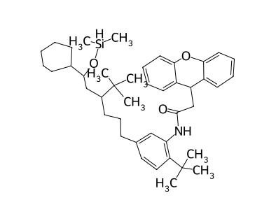 C[SiH](C)OC(CC(CCCc1ccc(C(C)(C)C)c(NC(=O)CC2c3ccccc3Oc3ccccc32)c1)C(C)(C)C)C1CCCCC1